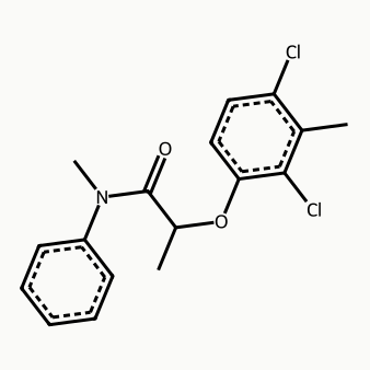 Cc1c(Cl)ccc(OC(C)C(=O)N(C)c2ccccc2)c1Cl